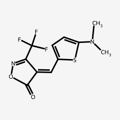 CN(C)c1ccc(C=C2C(=O)ON=C2C(F)(F)F)s1